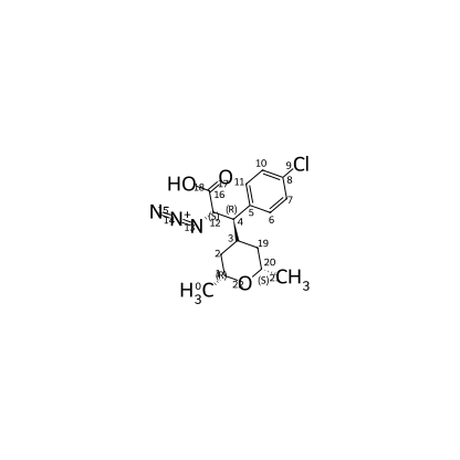 C[C@@H]1CC([C@H](c2ccc(Cl)cc2)[C@H](N=[N+]=[N-])C(=O)O)C[C@H](C)O1